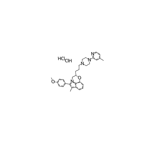 COc1ccc(-c2c(C)c3cccc4c3n2CC(CCCN2CCN(c3cc(C)ccn3)CC2)O4)cc1.Cl.Cl